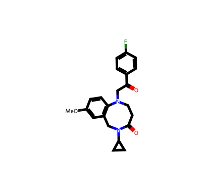 COc1ccc2c(c1)CN(C1CC1)C(=O)CCN2CC(=O)c1ccc(F)cc1